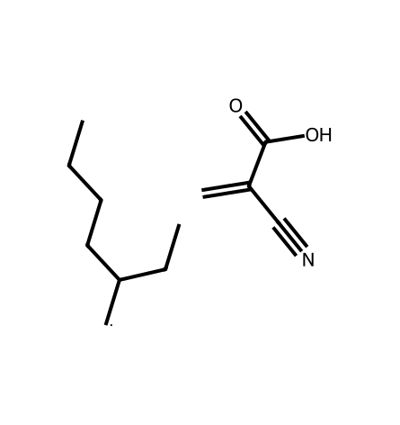 C=C(C#N)C(=O)O.[CH2]C(CC)CCCC